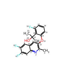 Cc1nc2cc(F)c(F)cc2cc1Oc1cccc(F)c1C(C)(C)O